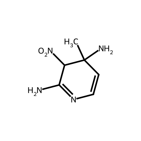 CC1(N)C=CN=C(N)C1[N+](=O)[O-]